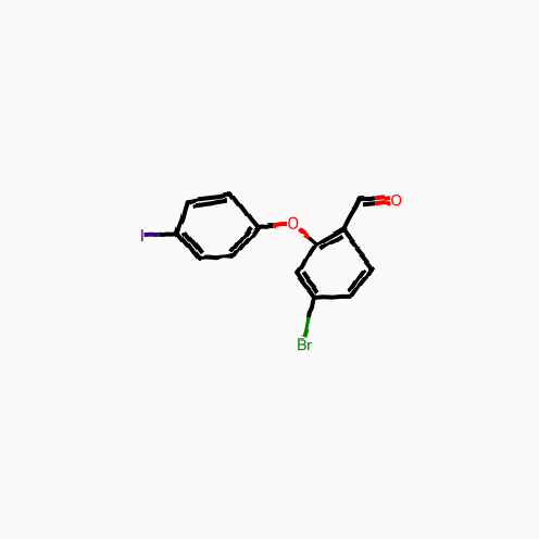 O=Cc1ccc(Br)cc1Oc1ccc(I)cc1